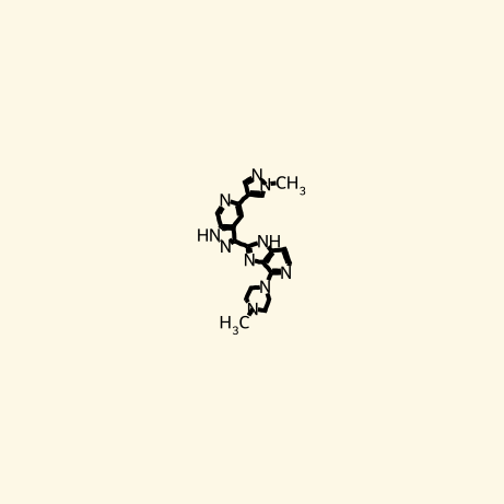 CN1CCN(c2nccc3[nH]c(-c4n[nH]c5cnc(-c6cnn(C)c6)cc45)nc23)CC1